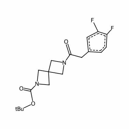 CC(C)(C)OC(=O)N1CC2(CN(C(=O)Cc3ccc(F)c(F)c3)C2)C1